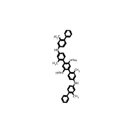 CCCCCCc1cc(-c2ccc(Nc3ccc(-c4ccccc4)c(C)c3)cc2C)c(CCCCCC)cc1-c1ccc(Nc2ccc(-c3ccccc3)c(C)c2)cc1C